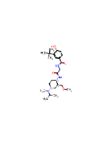 COC[C@H]1C[C@H](N(C)C(C)C)CC[C@@H]1NC(=O)CNC(=O)c1ccc(O)c(C(C)(C)C)c1